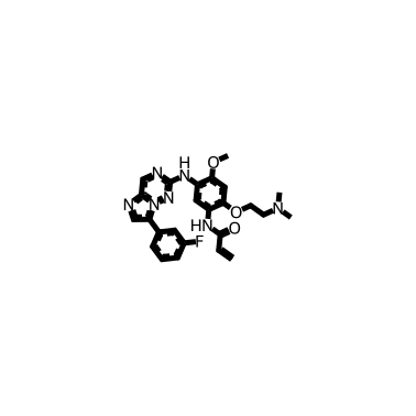 C=CC(=O)Nc1cc(Nc2ncc3ncc(-c4cccc(F)c4)n3n2)c(OC)cc1OCCN(C)C